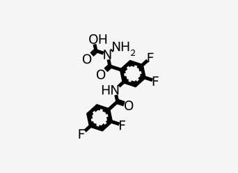 NN(C(=O)O)C(=O)c1cc(F)c(F)cc1NC(=O)c1ccc(F)cc1F